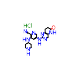 Cl.N#Cc1ncc(Nc2ncc3c(n2)CCC(=O)N3)cc1NC1CCNCC1